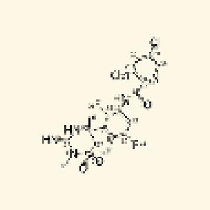 CN1C(=N)N[C@](C)(c2c(F)c(F)cc(NC(=O)c3ncc(Cl)cc3Cl)c2F)CS1(=O)=O